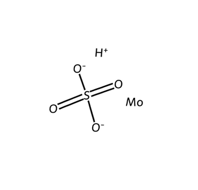 O=S(=O)([O-])[O-].[H+].[Mo]